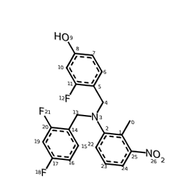 Cc1c(N(Cc2ccc(O)cc2F)Cc2ccc(F)cc2F)cccc1[N+](=O)[O-]